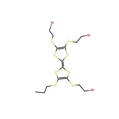 CCCSC1=C(SCCBr)SC(=C2SC(SCCBr)=C(SCCBr)S2)S1